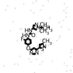 Cc1cc(-c2cc(Oc3ccc(NC(=O)Nc4cnn(C(C)(C)C)c4)c(F)c3)ncn2)sn1